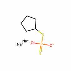 [Na+].[Na+].[O-]P([O-])(=S)SC1CCCC1